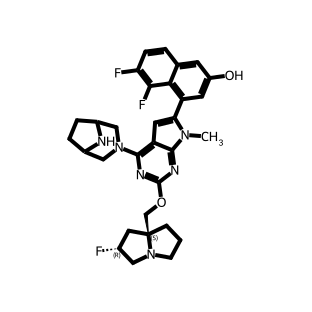 Cn1c(-c2cc(O)cc3ccc(F)c(F)c23)cc2c(N3CC4CCC(C3)N4)nc(OC[C@@]34CCCN3C[C@H](F)C4)nc21